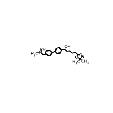 CN(C)Cc1ccc(-c2ccc([C@H](O)CCCCC3=NOC(C)(C)O3)cc2)cc1